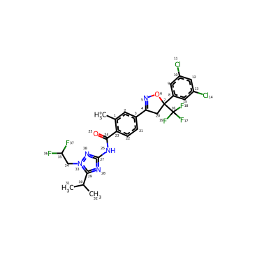 Cc1cc(C2=NOC(c3cc(Cl)cc(Cl)c3)(C(F)(F)F)C2)ccc1C(=O)Nc1nc(C(C)C)n(CC(F)F)n1